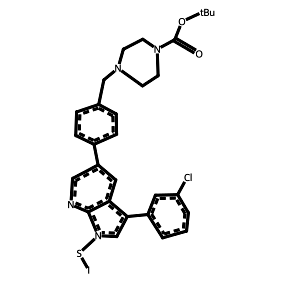 CC(C)(C)OC(=O)N1CCN(Cc2ccc(-c3cnc4c(c3)c(-c3cccc(Cl)c3)cn4SI)cc2)CC1